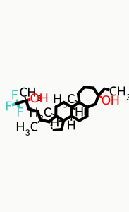 CC[C@@]1(O)CCC[C@@]2(C)C(=CC[C@H]3[C@@H]4CC[C@H]([C@H](C)CC[C@](C)(O)C(F)(F)F)[C@@]4(C)CC[C@@H]32)C1